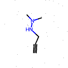 C#CCNN(C)C